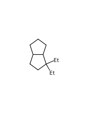 CCC1(CC)CCC2CCCC21